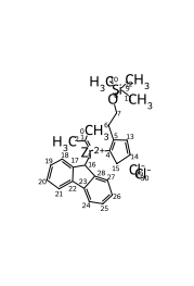 C[C](C)=[Zr+2]([C]1=C(CCO[Si](C)(C)C)C=CC1)[CH]1c2ccccc2-c2ccccc21.[Cl-].[Cl-]